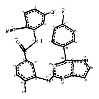 COc1ccc(C(F)(F)F)cc1NC(=O)c1ccc(C)c(Nc2nc(-c3ccc(F)cc3)c3[nH]ccc3n2)c1